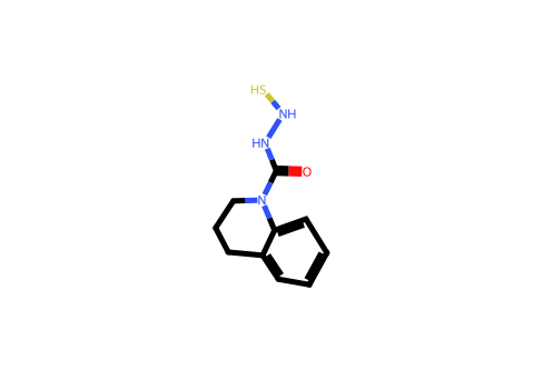 O=C(NNS)N1CCCc2ccccc21